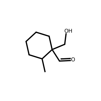 CC1CCCCC1(C=O)CO